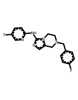 Fc1ccc(CN2CCn3c(cnc3Nc3ccc(F)cn3)C2)cc1